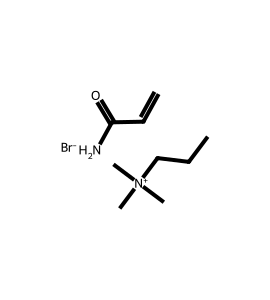 C=CC(N)=O.CCC[N+](C)(C)C.[Br-]